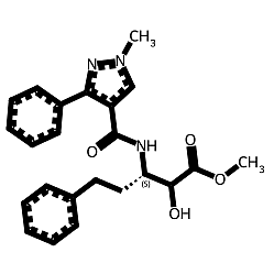 COC(=O)C(O)[C@H](CCc1ccccc1)NC(=O)c1cn(C)nc1-c1ccccc1